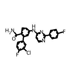 NC(=O)c1ccc(Nc2ccnc(-c3ccc(F)cc3)n2)cc1-c1ccc(F)c(Cl)c1